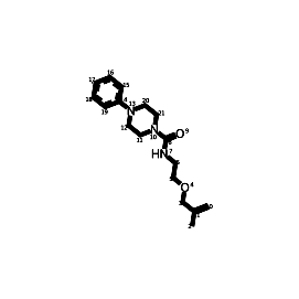 C=C(C)COCCNC(=O)N1CCN(c2cc[c]cc2)CC1